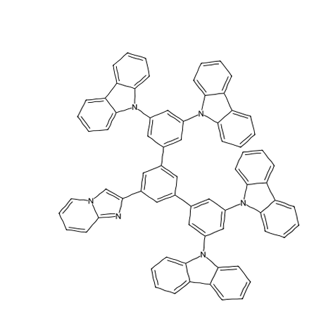 c1ccc2c(c1)c1ccccc1n2-c1cc(-c2cc(-c3cc(-n4c5ccccc5c5ccccc54)cc(-n4c5ccccc5c5ccccc54)c3)cc(-c3cn4ccccc4n3)c2)cc(-n2c3ccccc3c3ccccc32)c1